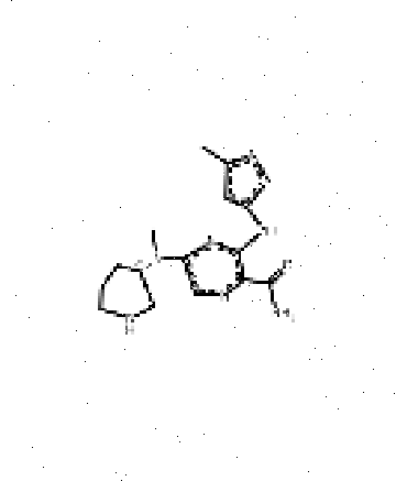 Cc1cc(Nc2nc(N(C)[C@H]3CCCNC3)cnc2C(N)=O)sn1